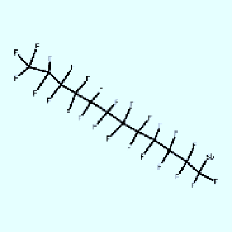 FC(F)(F)C(F)(F)C(F)(F)C(F)(F)C(F)(F)C(F)(F)C(F)(F)C(F)(F)C(F)(F)C(F)(F)C(F)(F)[C](F)(F)[Sb]